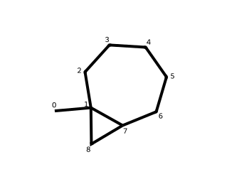 CC12CCCCCC1C2